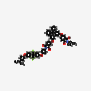 CCC(C)N1C(=O)c2ccc(Oc3ccc(C4(c5ccc(Oc6ccc7c(c6)C(=O)N(c6ccc(Oc8ccc(C(c9ccc(Oc%10ccc(C(C)C)cc%10)cc9)(C(F)(F)F)C(F)(F)F)cc8)cc6)C7=O)cc5)c5ccccc5-c5ccccc54)cc3)cc2C1=O